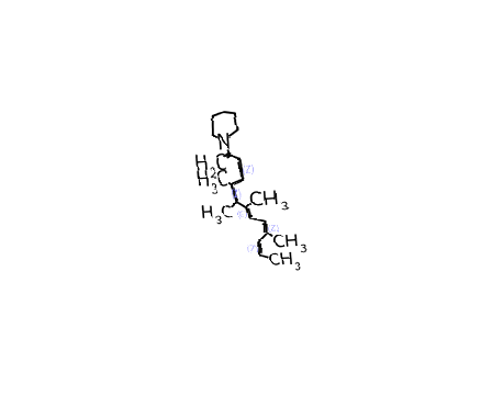 C=C(\C=C/C(C)=C(C)\C(C)=C\C=C(C)/C=C\C)N1CCCCC1